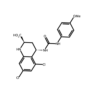 COc1ccc(NC(=O)N[C@H]2C[C@H](C(=O)O)Nc3cc(Cl)cc(Cl)c32)cc1